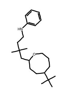 CC(C)(CCNc1ccccc1)CC1CCC(C(C)(C)C)CCCO1